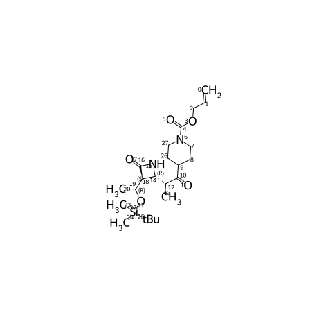 C=CCOC(=O)N1CCC(C(=O)C(C)[C@H]2NC(=O)[C@@H]2[C@@H](C)O[Si](C)(C)C(C)(C)C)CC1